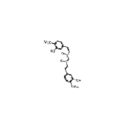 COc1ccc(/C=C\[S+]([O-])C[S+]([O-])/C=C/c2ccc(OC)c(O)c2)cc1O